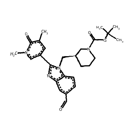 Cc1cc(-c2nc3cc(C=O)ccc3n2C[C@@H]2CCCN(C(=O)OC(C)(C)C)C2)cn(C)c1=O